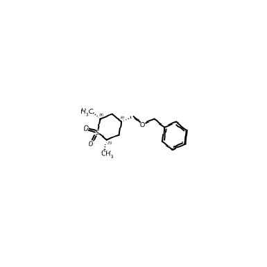 C[C@@H]1C[C@H](COCc2ccccc2)C[C@H](C)S1(=O)=O